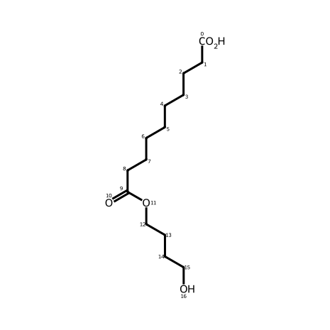 O=C(O)CCCCCCCCC(=O)OCCCCO